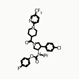 CC(C)N(C(=O)Oc1ccc(F)cc1)[C@@H]1CN(C(=O)C2CCN(c3ccc(C(F)(F)F)cn3)CC2)CC1c1ccc(Cl)cc1